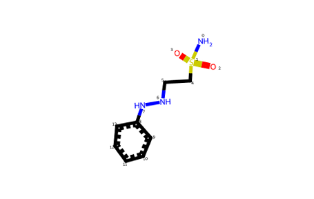 NS(=O)(=O)CCNNc1ccccc1